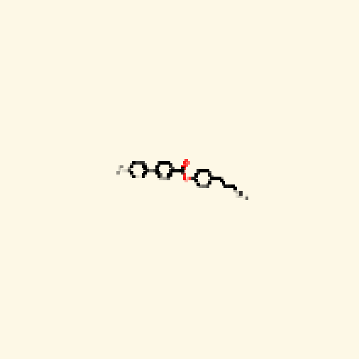 CCCCC1CCC(OC(=O)c2ccc(C3=CCC(C)CC3)cc2)CC1